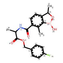 Cc1c(C(=O)NC(C(=O)OCc2ccc(F)cc2)C(C)C)ccc2c1B(O)OC2C